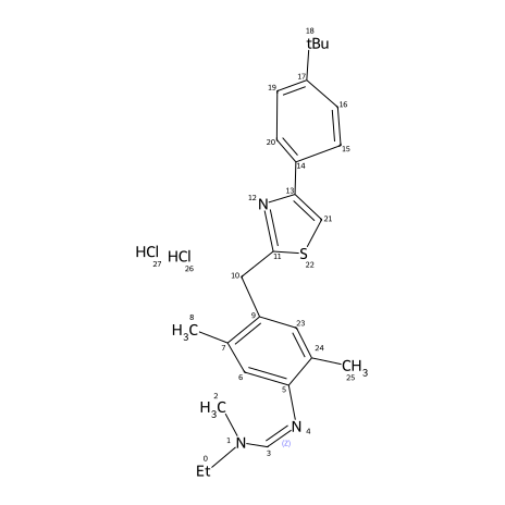 CCN(C)/C=N\c1cc(C)c(Cc2nc(-c3ccc(C(C)(C)C)cc3)cs2)cc1C.Cl.Cl